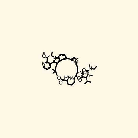 CCN(C)C(=O)N(C)[C@H](C(=O)N[C@H]1Cc2nc(cs2)-c2ccc3c(c2)c(c(-c2cccnc2[C@H](C)OC)n3CC)CC(C)(C)COC[C@@]2(C=O)CCCN(N2)C1=O)C(C)C